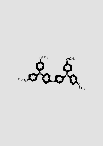 COc1ccc(N(c2ccc(OC)cc2)c2ccc(Sc3ccc(N(c4ccc(OC)cc4)c4ccc(OC)cc4)cc3)cc2)cc1